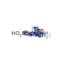 CC(C(N)=O)C(Cc1ccccc1)c1nc(Nc2cnn(C3CCN(C(=O)O)CC3)c2)ncc1Cl